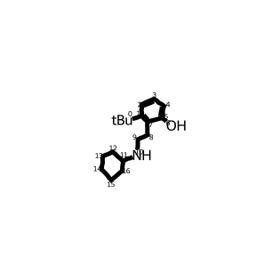 CC(C)(C)c1cccc(O)c1CCNC1CCCCC1